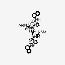 CCC[C@H](NC)C(=O)N[C@@H](CC#CC[C@H](NC(=O)[C@H](C)NC)C(=O)N1CCC[C@H]1C(=O)N[C@@H]1CCCc2ccccc21)C(=O)N1CCC[C@H]1C(=O)N[C@@H]1CCCc2ccccc21